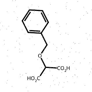 O=C(O)C(OCc1ccccc1)C(=O)O